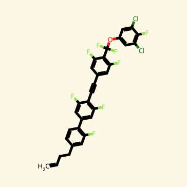 C=CCCc1ccc(-c2cc(F)c(C#Cc3cc(F)c(C(F)(F)Oc4cc(Cl)c(F)c(Cl)c4)c(F)c3)c(F)c2)c(F)c1